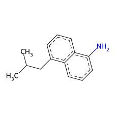 CC(C)Cc1cccc2c(N)cccc12